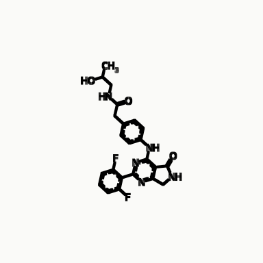 CC(O)CNC(=O)Cc1ccc(Nc2nc(-c3c(F)cccc3F)nc3c2C(=O)NC3)cc1